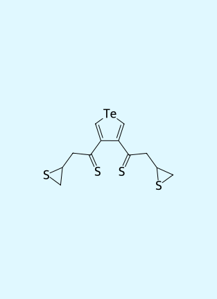 S=C(CC1CS1)c1c[te]cc1C(=S)CC1CS1